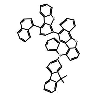 CC1(C)c2ccccc2-c2ccc(N(c3ccccc3)c3cccc4oc5c6ccccc6c(-c6ccc(-c7cccc8ccccc78)c7c6sc6ccccc67)cc5c34)cc21